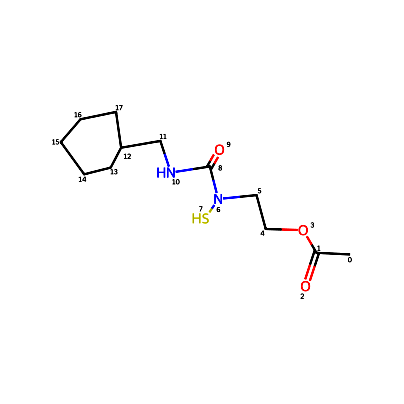 CC(=O)OCCN(S)C(=O)NCC1CCCCC1